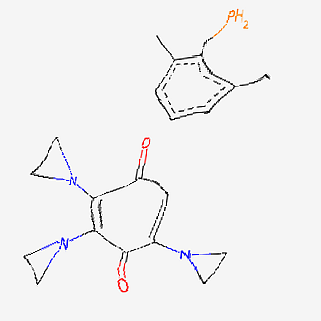 Cc1cccc(C)c1P.O=C1C=C(N2CC2)C(=O)C(N2CC2)=C1N1CC1